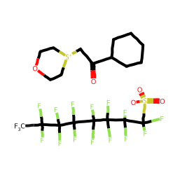 O=C(C[S+]1CCOCC1)C1CCCCC1.O=S(=O)([O-])C(F)(F)C(F)(F)C(F)(F)C(F)(F)C(F)(F)C(F)(F)C(F)(F)C(F)(F)F